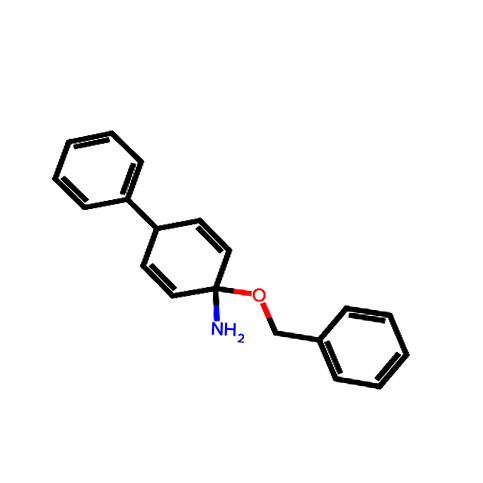 NC1(OCc2ccccc2)C=CC(c2ccccc2)C=C1